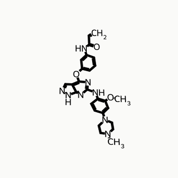 C=CC(=O)Nc1cccc(Oc2nc(Nc3ccc(N4CCN(C)CC4)cc3OC)nc3[nH]ncc23)c1